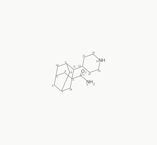 NC(=O)C12CC3CC(CC(C3)C1C1CCNCC1)C2